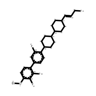 CCOc1ccc(-c2ccc(C3CCC(C4CCC(/C=C/CF)CC4)CC3)c(F)c2)c(F)c1F